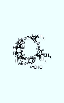 C=C1CC2CC[C@@]34CC5O[C@H]6C(O3)[C@H]3O[C@H](CCC3O[C@H]6C5O4)CC(=O)CC3[C@H](C[C@H]4OC(CCC1O2)CC(C)C4=C)O[C@H](CC=O)[C@@H]3OC